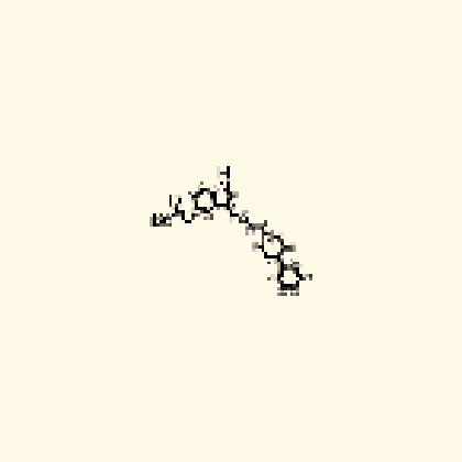 CCC(C)C(=O)Oc1ccc2[nH]cc(CSCCN3CCC(c4ccccc4)CC3)c2c1